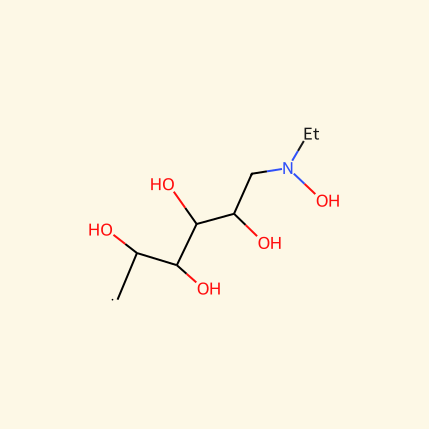 [CH2]C(O)C(O)C(O)C(O)CN(O)CC